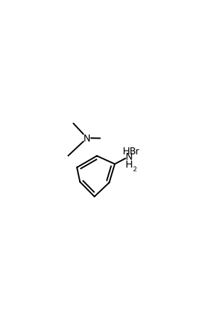 Br.CN(C)C.Nc1ccccc1